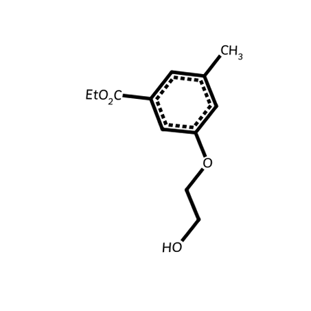 CCOC(=O)c1cc(C)cc(OCCO)c1